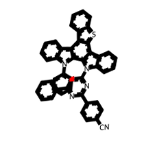 N#Cc1ccc(-c2nc(-c3ccccc3)nc(-n3c4ccccc4c4c5sc6ccccc6c5c5c6ccccc6n(-c6ccccc6)c5c43)n2)cc1